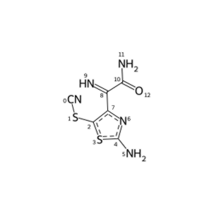 N#CSc1sc(N)nc1C(=N)C(N)=O